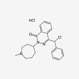 CN1CCCC(n2nc(C(Cl)c3ccccc3)c3ccccc3c2=O)CC1.Cl